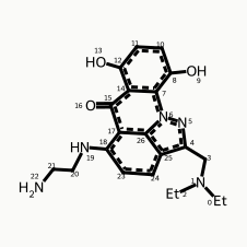 CCN(CC)Cc1nn2c3c(O)ccc(O)c3c(=O)c3c(NCCN)ccc1c32